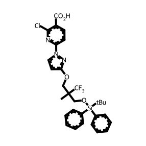 CC(COc1ccn(-c2ccc(C(=O)O)c(Cl)n2)n1)(CO[Si](c1ccccc1)(c1ccccc1)C(C)(C)C)C(F)(F)F